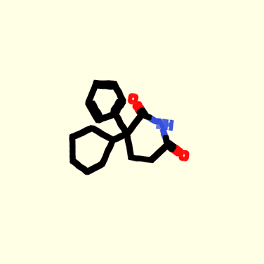 O=C1CCC(c2ccccc2)(C2CCCCC2)C(=O)N1